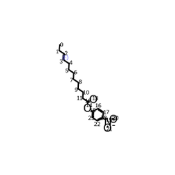 CC/C=C/CCCCCCCCC(=O)Oc1ccc([N+](=O)[O-])cc1